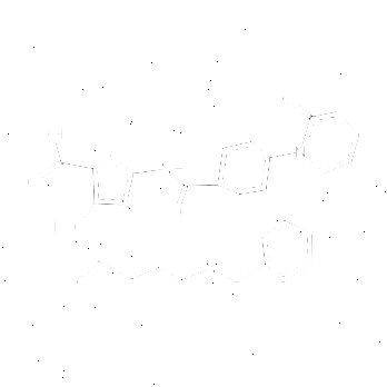 CCCCCNCc1ccccc1.Cc1nc(NC(=O)c2ccc(-n3ccccc3=O)cc2)sc1C(=O)O